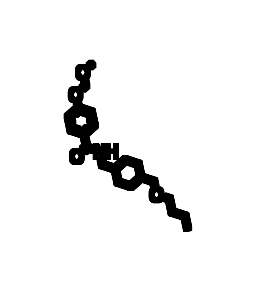 CCCCOCC1CCC(CNC(=O)c2ccc(OCOC)cc2)CC1